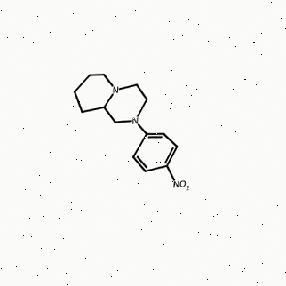 O=[N+]([O-])c1ccc(N2CCN3CCCCC3C2)cc1